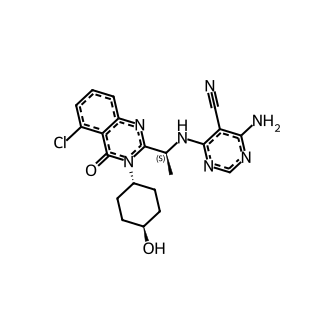 C[C@H](Nc1ncnc(N)c1C#N)c1nc2cccc(Cl)c2c(=O)n1[C@H]1CC[C@H](O)CC1